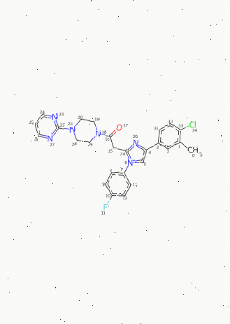 Cc1cc(-c2cn(-c3ccc(F)cc3)c(CC(=O)N3CCN(c4ncccn4)CC3)n2)ccc1Cl